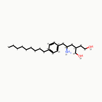 CCCCCCCCCc1ccc(CC(N)CC(CO)CCO)cc1